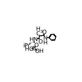 CC(C)C[C@H](NC(=O)C(C)C(=O)Nc1ccccc1)OB(O)O